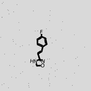 Fc1ccc(C=CC2=NOCN2)cc1